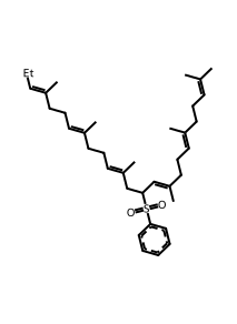 CC/C=C(\C)CC/C=C(\C)CC/C=C(\C)CC(/C=C(\C)CC/C=C(\C)CCC=C(C)C)S(=O)(=O)c1ccccc1